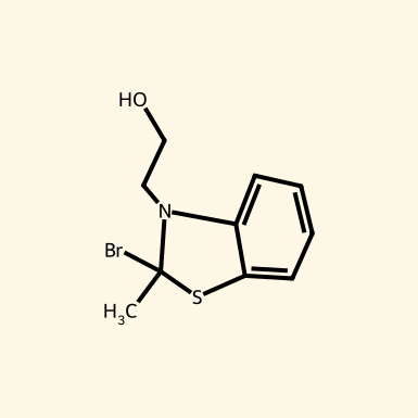 CC1(Br)Sc2ccccc2N1CCO